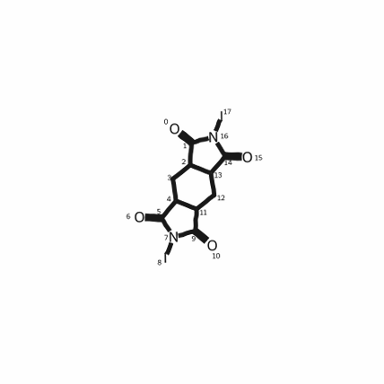 O=C1C2CC3C(=O)N(I)C(=O)C3CC2C(=O)N1I